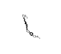 C=CCCCCCCCCCCCOc1ccc(C)cc1